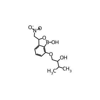 CC(C)C(O)COc1cccc2c1B(O)OC2C[N+](=O)[O-]